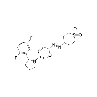 O=S1(=O)CCC([N+]=N[C@H]2C=CC(N3CCCC3c3cc(F)ccc3F)=CO2)CC1